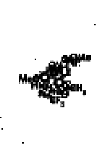 CONC(=O)C1CCC(c2ccc(Nc3nc(Nc4ccc(CP(=O)(O)O)cc4OC)ncc3C(F)(F)F)c3c2CN(C)C3=O)CC1